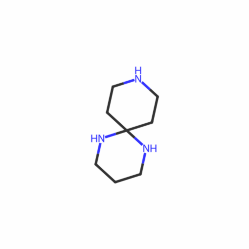 C1CNC2(CCNCC2)NC1